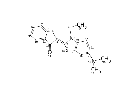 CCN1/C(=C2\Cc3ccccc3C2=O)Sc2cc(N(C)C)ccc21